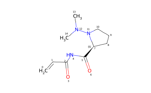 C=CC(=O)NC(=O)[C@@H]1CCCN1N(C)C